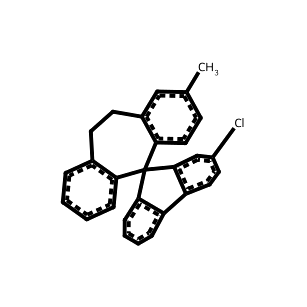 Cc1ccc2c(c1)CCc1ccccc1C21c2ccccc2-c2ccc(Cl)cc21